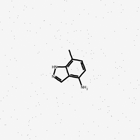 Cc1ccc(N)c2cn[nH]c12